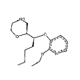 CCCC[C@H](Oc1cccnc1OCC)[C@@H]1CNCCO1